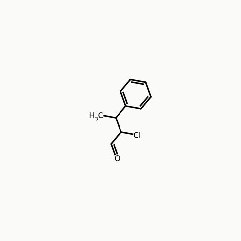 CC(c1ccccc1)C(Cl)C=O